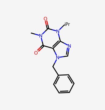 CC(C)n1c(=O)n(C)c(=O)c2c1ncn2Cc1ccccc1